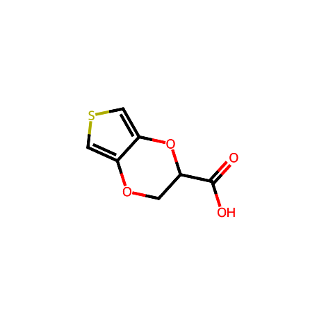 O=C(O)C1COc2cscc2O1